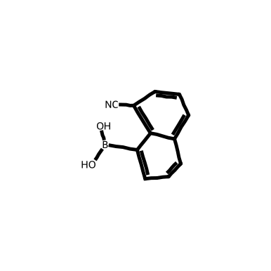 N#Cc1cccc2cccc(B(O)O)c12